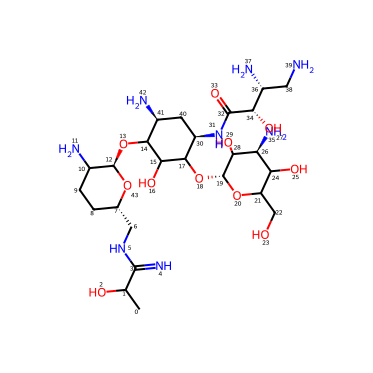 CC(O)C(=N)NC[C@@H]1CCC(N)[C@@H](OC2C(O)C(O[C@H]3OC(CO)C(O)[C@H](N)C3O)[C@H](NC(=O)[C@@H](O)[C@H](N)CN)C[C@@H]2N)O1